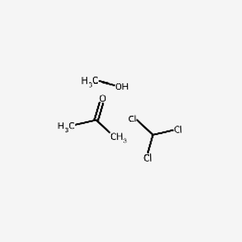 CC(C)=O.CO.ClC(Cl)Cl